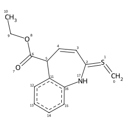 C=S=C1C=CC(C(=O)OCC)c2ccccc2N1